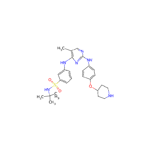 Cc1cnc(Nc2ccc(OC3CCNCC3)cc2)nc1Nc1cccc(S(=O)(=O)NC(C)(C)C)c1